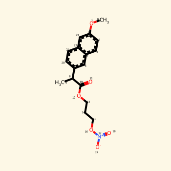 COc1ccc2cc(C(C)C(=O)OCCCO[N+](=O)[O-])ccc2c1